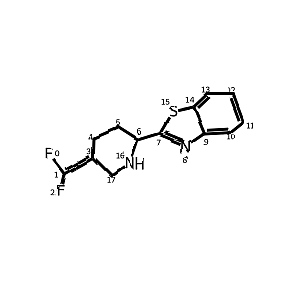 FC(F)=C1CCC(c2nc3ccccc3s2)NC1